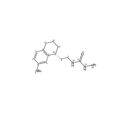 CCCCc1ccc2c(c1)[C@@H](CCNC(=O)NCCC)CCC2